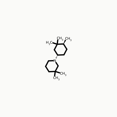 C[C@H]1CC[C@H](N2CCCC(C)(C)C2)CC1(C)C